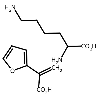 C=C(C(=O)O)c1ccco1.NCCCCC(N)C(=O)O